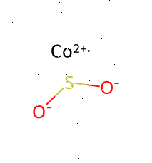 [Co+2].[O-]S[O-]